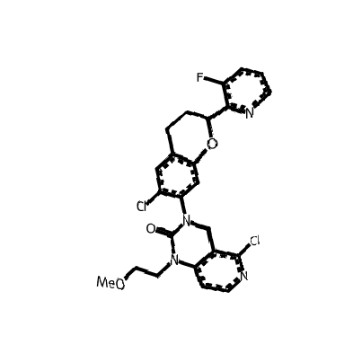 COCCN1C(=O)N(c2cc3c(cc2Cl)CCC(c2ncccc2F)O3)Cc2c1ccnc2Cl